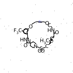 Cc1cc2ccc1CCS(=O)(=O)N1CCC3(CC1)N=C(NC3=O)c1cc(cc(C(F)(F)F)c1)OCC/C=C/COCCNC2=O